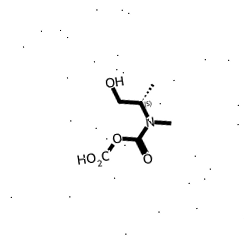 C[C@@H](CO)N(C)C(=O)OC(=O)O